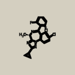 C[C@@H]1N=C(c2c(F)cccc2F)c2c(ccc(Cl)c2Cl)-n2nc(C3CC3)nc21